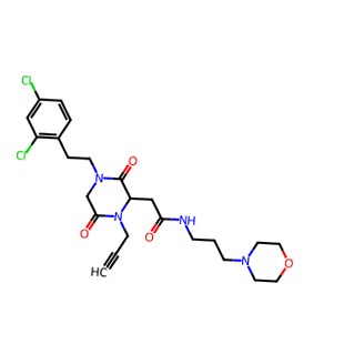 C#CCN1C(=O)CN(CCc2ccc(Cl)cc2Cl)C(=O)C1CC(=O)NCCCN1CCOCC1